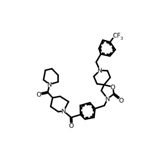 O=C1OC2(CCN(Cc3ccc(C(F)(F)F)cc3)CC2)CN1Cc1ccc(C(=O)N2CCC(C(=O)N3CCCCC3)CC2)cc1